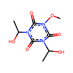 COn1c(=O)n(C(C)O)c(=O)n(C(C)O)c1=O